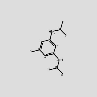 Cc1cc(NC(C)C)cc(NC(C)C)c1